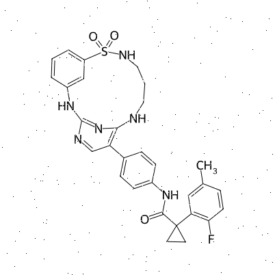 Cc1ccc(F)c(C2(C(=O)Nc3ccc(-c4cnc5nc4NCCCNS(=O)(=O)c4cccc(c4)N5)cc3)CC2)c1